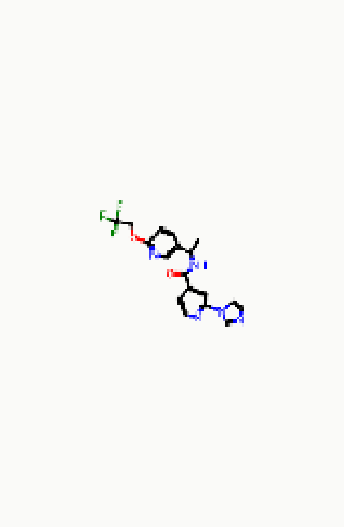 CC(NC(=O)c1ccnc(-n2ccnc2)c1)c1ccc(OCC(F)(F)F)nc1